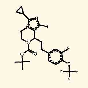 CC(C)(C)OC(=O)N1CCn2c(C3CC3)nc(I)c2C1CCc1ccc(OC(F)(F)F)c(F)c1